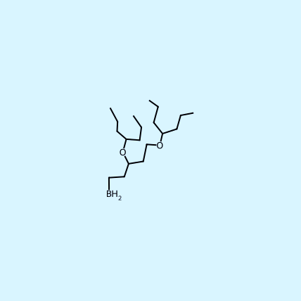 BCCC(CCOC(CCC)CCC)OC(CCC)CCC